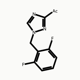 CC(=O)c1ncn(Cc2c(F)cccc2F)n1